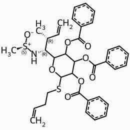 C=CCCSC1OC([C@H](N[S@@+](C)[O-])[C@H](C)C=C)C(OC(=O)c2ccccc2)C(OC(=O)c2ccccc2)C1OC(=O)c1ccccc1